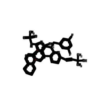 Cn1nc(NS(C)(=O)=O)c2c(Cl)ccc(-c3ccc(C#CC(C)(C)O)nc3[C@H](Cc3cc(F)cc(F)c3)NC(=O)Cc3ccc4ccccc4c3)c21